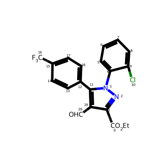 CCOC(=O)c1nn(-c2ccccc2Cl)c(-c2ccc(C(F)(F)F)cc2)c1C=O